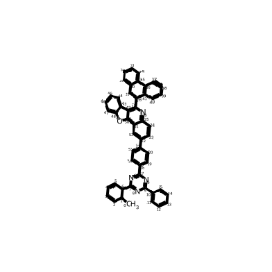 CC1C=CC=CC1c1nc(-c2ccccc2)nc(-c2ccc(-c3ccc4nc(-c5cc6ccccc6c6c#cccc56)c5c6ccccc6oc5c4c3)cc2)n1